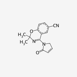 CC1(C)N=C(N2CC=CC2=O)c2cc(C#N)ccc2O1